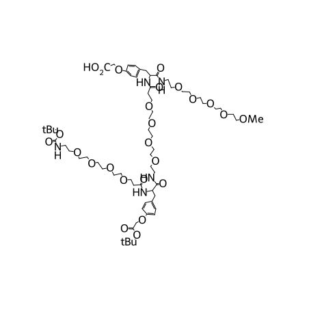 COCCOCCOCCOCCOCCNC(=O)C(Cc1ccc(OCC(=O)O)cc1)NC(=O)CCOCCOCCOCCOCCNC(=O)C(Cc1ccc(OCC(=O)OC(C)(C)C)cc1)NC(=O)CCOCCOCCOCCOCCNC(=O)OC(C)(C)C